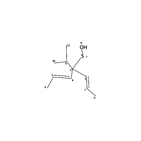 CC=CC(C=CC)(SO)C(C)C